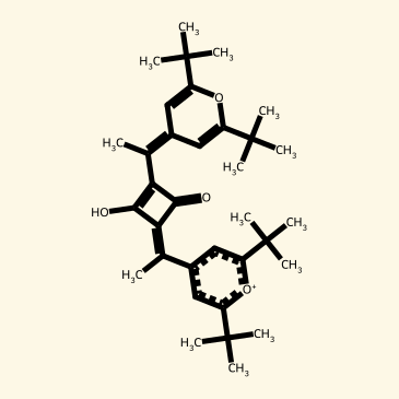 CC(=C1C=C(C(C)(C)C)OC(C(C)(C)C)=C1)C1=C(O)/C(=C(\C)c2cc(C(C)(C)C)[o+]c(C(C)(C)C)c2)C1=O